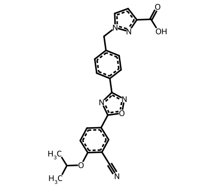 CC(C)Oc1ccc(-c2nc(-c3ccc(Cn4ccc(C(=O)O)n4)cc3)no2)cc1C#N